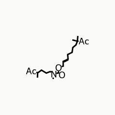 CC(=O)C(C)CCCN(C)C(=O)OC/C=C/CCCCC(C)(C)C(C)=O